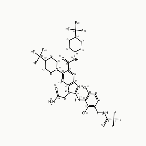 CC(C)(C)C(=O)NCc1ccc(Cl)c(Nc2nc3cc(C(=O)N[C@H]4CC[C@H](C(F)(F)F)CC4)c(N4CCC(C(F)(F)F)CC4)nc3n2CC(N)=O)c1Cl